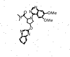 COc1cc2ncnc(N3CC(Oc4cnc5ccccc5n4)CC3C(=O)N(C)C)c2cc1OC